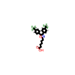 O=C(O)CCCCCc1nc(-c2ccc(C(F)(F)F)cc2)c(-c2ccc(C(F)(F)F)cc2)o1